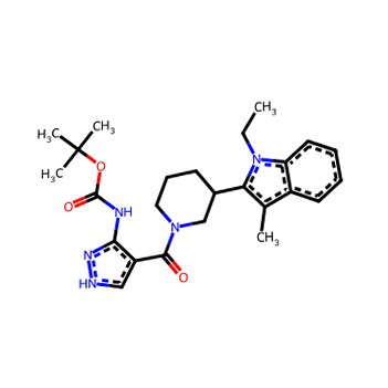 CCn1c(C2CCCN(C(=O)c3c[nH]nc3NC(=O)OC(C)(C)C)C2)c(C)c2ccccc21